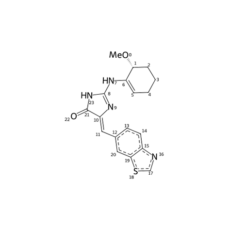 CO[C@@H]1CCCC=C1NC1=N/C(=C\c2ccc3ncsc3c2)C(=O)N1